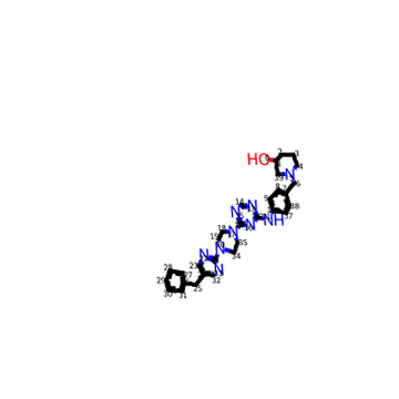 OC1CCCN(Cc2ccc(Nc3ncnc(N4CCN(c5ncc(Cc6ccccc6)cn5)CC4)n3)cc2)C1